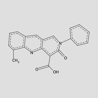 Cc1cccc2cc3cn(-c4ccccc4)c(=O)c(C(=O)O)c3nc12